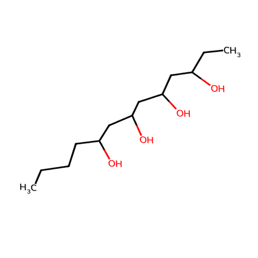 CCCCC(O)CC(O)CC(O)CC(O)CC